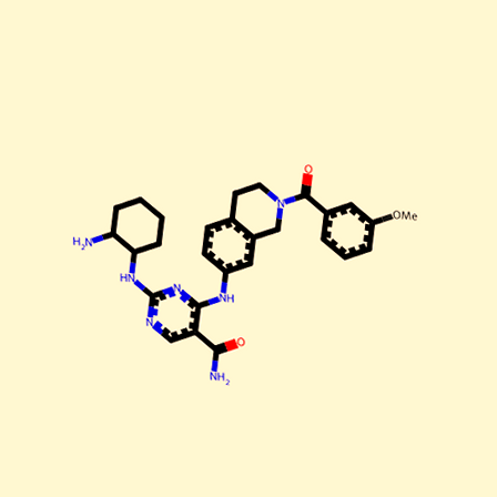 COc1cccc(C(=O)N2CCc3ccc(Nc4nc(NC5CCCCC5N)ncc4C(N)=O)cc3C2)c1